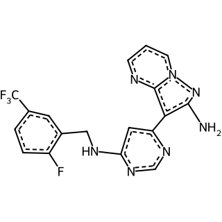 Nc1nn2cccnc2c1-c1cc(NCc2cc(C(F)(F)F)ccc2F)ncn1